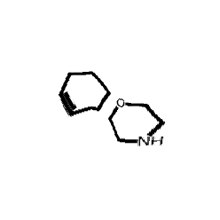 C1=CCCCC1.C1COCCN1